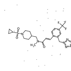 Cc1nnn(Cc2cc(C(F)(F)F)ccc2C=CC(=O)N(C)CC2CCN(S(=O)(=O)C3CC3)CC2)n1